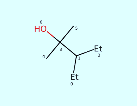 CCC(CC)C(C)(C)O